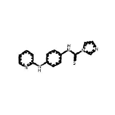 S=C(Nc1ccc(Nc2ccccn2)cc1)n1ccnc1